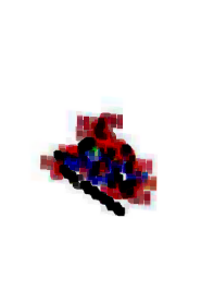 CCCCCCCCCCCCCCCCCC(=O)O.CNC(CC(C)C)C(=O)NC1C(=O)NC(CC(N)=O)C(=O)NC2C(=O)NC3C(=O)NC(C(=O)NC(C(=O)O)c4cc(O)cc(O)c4-c4cc3ccc4O)C(O)c3ccc(c(Cl)c3)Oc3cc2cc(c3OC2OC(CO)C(O)C(O)C2OC2CC(C)(N)C(O)C(C)O2)Oc2ccc(cc2Cl)C1O